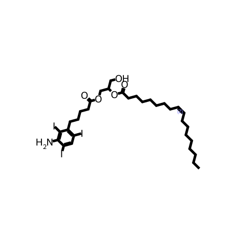 CCCCCCCC/C=C\CCCCCCCC(=O)OC(CO)COC(=O)CCCCc1c(I)cc(I)c(N)c1I